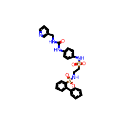 O=C(NCc1cccnc1)Nc1ccc(NS(=O)(=O)CCNS(=O)(=O)c2ccccc2-c2ccccc2)cc1